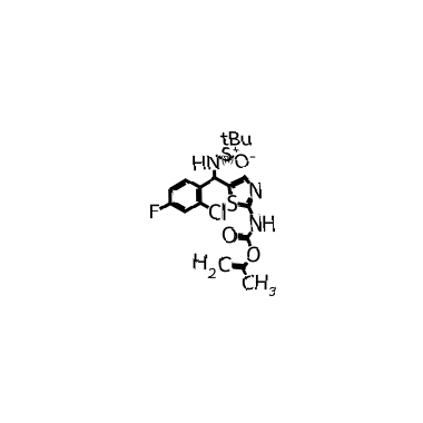 C=C(C)OC(=O)Nc1ncc(C(N[S@@+]([O-])C(C)(C)C)c2ccc(F)cc2Cl)s1